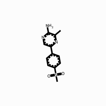 Cc1nc(-c2ccc(S(C)(=O)=O)cc2)cnc1N